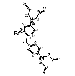 C=CCN(CC=C)c1ccc(Cc2ccc(N(CC=C)CC=C)cc2Br)cc1